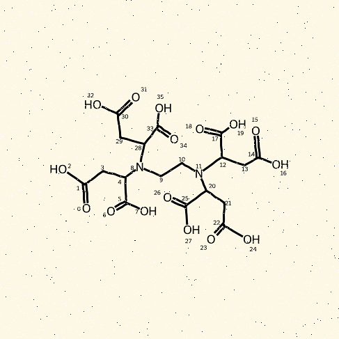 O=C(O)CC(C(=O)O)N(CCN(C(CC(=O)O)C(=O)O)C(CC(=O)O)C(=O)O)C(CC(=O)O)C(=O)O